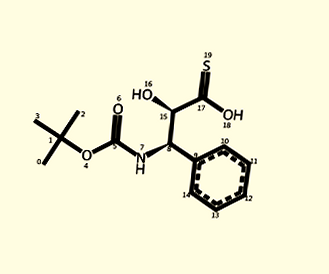 CC(C)(C)OC(=O)N[C@H](c1ccccc1)[C@@H](O)C(O)=S